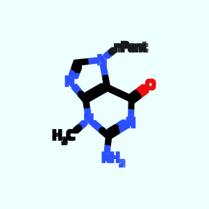 CCCCCn1cnc2c1c(=O)nc(N)n2C